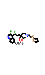 COc1ccc2ncc(F)c([C@@H](F)CCC3(CO)CCN(CCSc4cccs4)CC3)c2c1